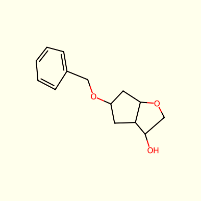 OC1COC2CC(OCc3ccccc3)CC12